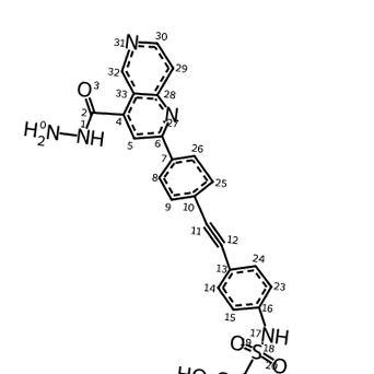 NNC(=O)c1cc(-c2ccc(C#Cc3ccc(NS(=O)(=O)CC(=O)O)cc3)cc2)nc2ccncc12